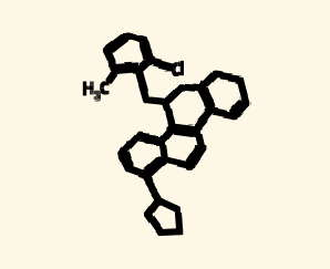 Cc1cccc(Cl)c1CC1CC2=C(C=CCC2)c2ccc3c(C4CCCC4)cccc3c21